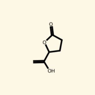 C=C(O)C1CCC(=O)O1